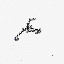 CCCC/C=C\CCCCCCCC(=O)OCC(COC(=O)CCCCCCC/C=C\CCCC)(COC(=O)CCCCCCCCC)COC(=O)CCCNC